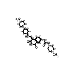 CN1CCN(NC(=O)Nc2ccc3c(c2)C(=O)NC(=O)/C3=C\Nc2ccc(N3CCN(C)CC3)cc2)CC1